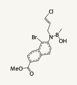 COC(=O)c1ccc2c(Br)c(N(CC=CCl)B(C)O)ccc2c1